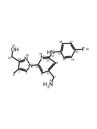 Cc1cn(-c2cc(CN)cc(Nc3ccc(F)cc3)n2)nc1CO